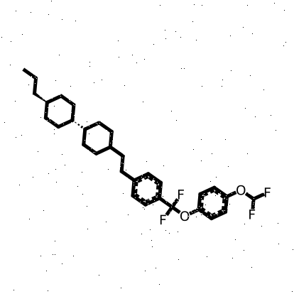 CCC[C@H]1CC[C@H](C2CCC(CCc3ccc(C(F)(F)Oc4ccc(OC(F)F)cc4)cc3)CC2)CC1